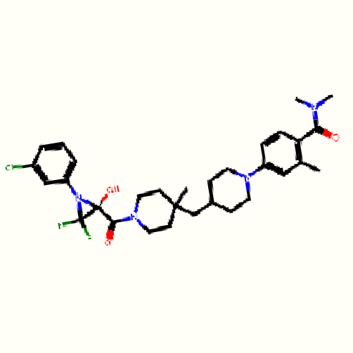 Cc1cc(N2CCC(CC3(C)CCN(C(=O)[C@@]4(O)N(c5cccc(Cl)c5)C4(F)F)CC3)CC2)ccc1C(=O)N(C)C